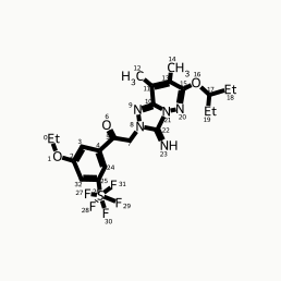 CCOc1cc(C(=O)Cn2nc3c(C)c(C)c(OC(CC)CC)nn3c2=N)cc(S(F)(F)(F)(F)F)c1